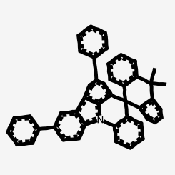 CC1(C)c2ccccc2C2(c3ccccc3-n3c4ccc(-c5ccccc5)cc4c4cc(-c5ccccc5)cc2c43)c2ccccc21